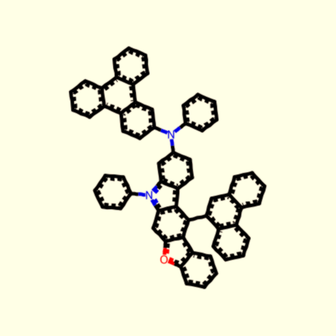 c1ccc(N(c2ccc3c4ccccc4c4ccccc4c3c2)c2ccc3c4c(-c5cc6ccccc6c6ccccc56)c5c(cc4n(-c4ccccc4)c3c2)oc2ccccc25)cc1